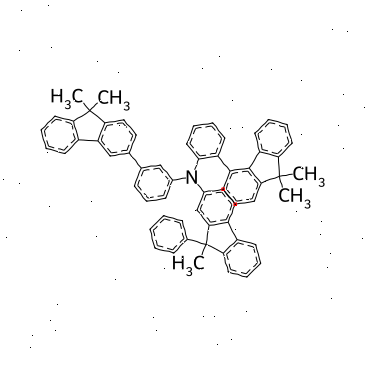 CC1(C)c2ccccc2-c2cc(-c3cccc(N(c4ccc5c(c4)C(C)(c4ccccc4)c4ccccc4-5)c4ccccc4-c4cccc5c4-c4ccccc4C5(C)C)c3)ccc21